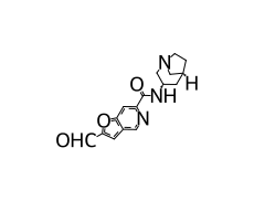 O=Cc1cc2cnc(C(=O)N[C@@H]3C[C@H]4CCN(C4)C3)cc2o1